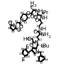 CC(C)[C@H](NC(=O)CCNC(=O)[C@@H](N)CCN(C(=O)CO)[C@@H](c1cc(-c2cc(F)ccc2F)cn1Cc1ccccc1)C(C)(C)C)C(=O)N[C@@H](C)C(=O)OC1CCN(C(=O)CN2C(=O)C=CC2=O)CC1